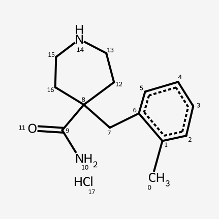 Cc1ccccc1CC1(C(N)=O)CCNCC1.Cl